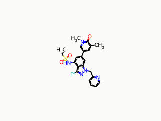 CCS(=O)(=O)Nc1cc(-c2cc(C)c(=O)n(C)c2)cc2c1c(F)nn2Cc1ccccn1